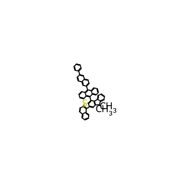 CC1(C)c2ccccc2-c2c1cc1c(sc3ccc4ccccc4c31)c2-c1c2ccccc2c(-c2ccc3cc(-c4ccccc4)ccc3c2)c2ccccc12